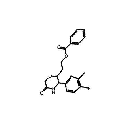 O=C1COC(CCOC(=O)c2ccccc2)C(c2ccc(F)c(F)c2)N1